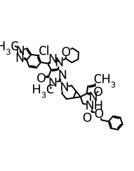 Cc1cc(C2(CNC(=O)OCc3ccccc3)C3CCN(c4nc5c(c(-c6ccc7nn(C)cc7c6Cl)nn5C5CCCCO5)c(=O)n4C)CC32)no1